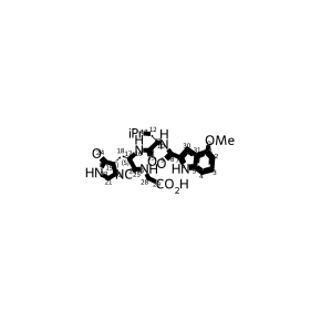 COc1cccc2[nH]c(C(=O)N[C@@H](CC(C)C)C(=O)N[C@@H](C[C@@H]3CCNC3=O)C(C#N)NCC(=O)O)cc12